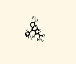 CCOC1CCc2c1nc1sc(C(N)=O)c(N)c1c2-c1cccs1